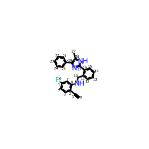 C#Cc1ccc(F)cc1NCc1ccccc1-c1nc(-c2ccccc2)c(C)[nH]1